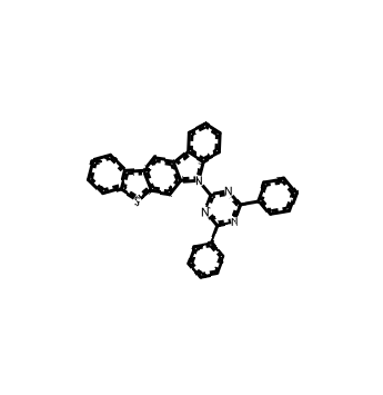 c1ccc(-c2nc(-c3ccccc3)nc(-n3c4ccccc4c4cc5c(cc43)sc3ccccc35)n2)cc1